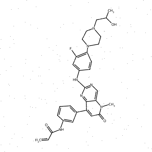 C=CC(=O)Nc1cccc(-c2cc(=O)n(C)c3cnc(Nc4ccc(N5CCN(CC(C)O)CC5)c(F)c4)nc23)c1